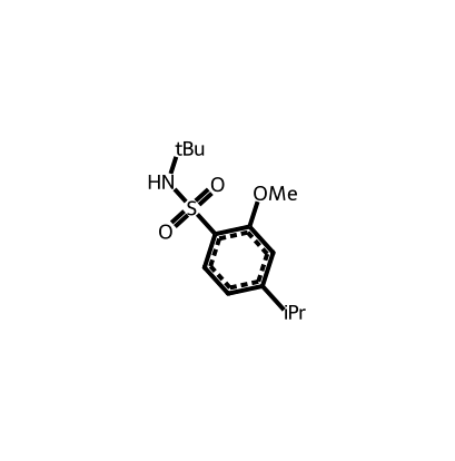 COc1cc(C(C)C)ccc1S(=O)(=O)NC(C)(C)C